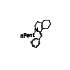 CCCCCN1CCC2=C(CCCC2)C1=Cc1ccccc1